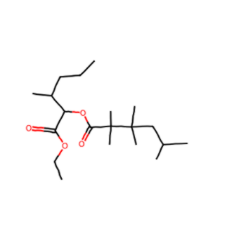 CCCC(C)C(OC(=O)C(C)(C)C(C)(C)CC(C)C)C(=O)OCC